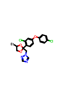 CCC1COC(Cn2cncn2)(c2ccc(Oc3ccc(Cl)cc3)cc2Cl)O1